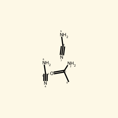 CC(N)=O.N#CN.N#CN